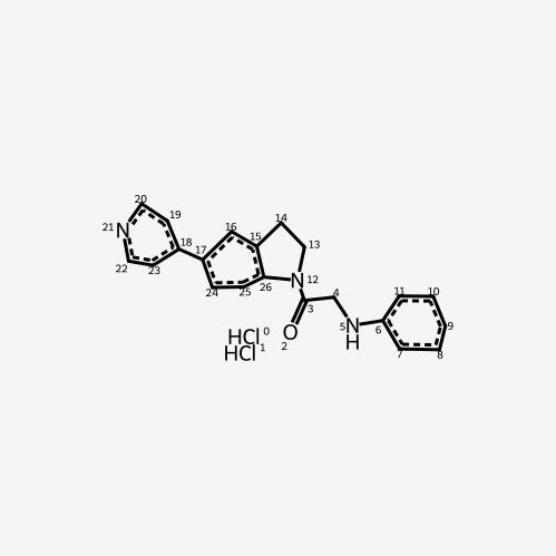 Cl.Cl.O=C(CNc1ccccc1)N1CCc2cc(-c3ccncc3)ccc21